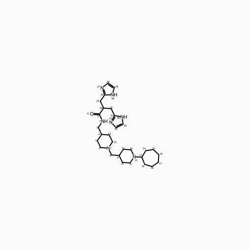 O=C(NCC1CCN(CC2CCN(C3CCCCCC3)CC2)CC1)C(Cc1ncc[nH]1)Cc1ncc[nH]1